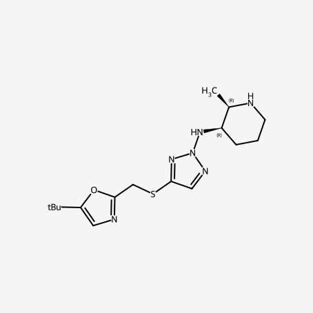 C[C@H]1NCCC[C@H]1Nn1ncc(SCc2ncc(C(C)(C)C)o2)n1